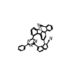 N#Cc1ccccc1-c1cc(-c2ccccc2C#N)c2oc3cccc(-c4nc(-c5ccccc5)nc(-c5ccccc5)n4)c3c2c1